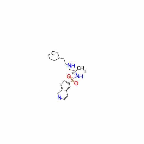 C[C@H](CNCCC1CCCCC1)NS(=O)(=O)c1ccc2cnccc2c1